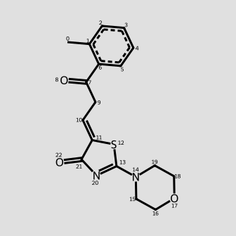 Cc1ccccc1C(=O)CC=C1SC(N2CCOCC2)=NC1=O